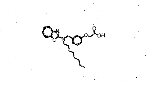 CCCCCCCCN(Cc1cccc(OCC(=O)O)c1)c1nc2ccccc2o1